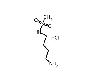 CS(=O)(=O)NCCCCN.Cl